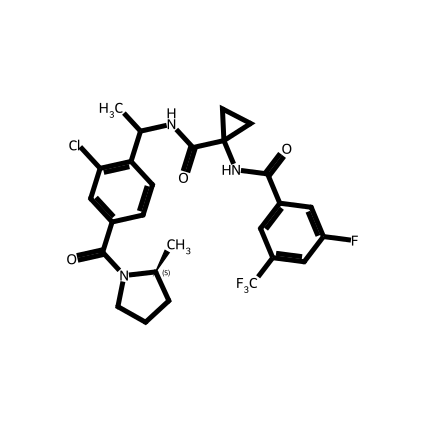 CC(NC(=O)C1(NC(=O)c2cc(F)cc(C(F)(F)F)c2)CC1)c1ccc(C(=O)N2CCC[C@@H]2C)cc1Cl